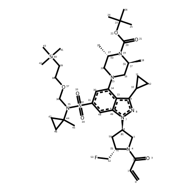 C=CC(=O)N1C[C@H](n2nc(C3CC3)c3c(N4C[C@H](C)N(C(=O)OC(C)(C)C)[C@@H](C)C4)cc(S(=O)(=O)N(COCC[Si](C)(C)C)C4(C)CC4)cc32)C[C@H]1CF